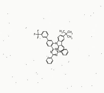 CC(C)(C)c1ccc2c(c1)c1ccccc1n2-c1cc(-c2cccc(C(F)(F)F)c2)ccc1-c1nc(-c2ccccc2)nc(-c2ccccc2)n1